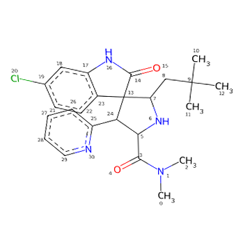 CN(C)C(=O)C1NC(CC(C)(C)C)C2(C(=O)Nc3cc(Cl)ccc32)C1c1ccccn1